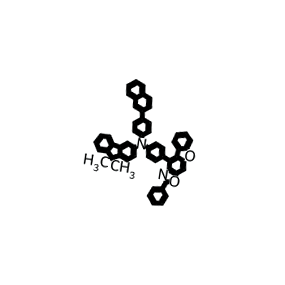 CC1(C)c2ccccc2-c2cc(N(c3ccc(-c4ccc5ccccc5c4)cc3)c3ccc(-c4c5nc(-c6ccccc6)oc5cc5oc6ccccc6c45)cc3)ccc21